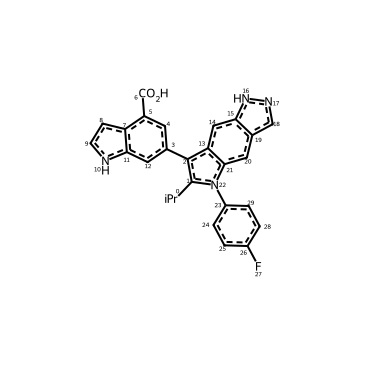 CC(C)c1c(-c2cc(C(=O)O)c3cc[nH]c3c2)c2cc3[nH]ncc3cc2n1-c1ccc(F)cc1